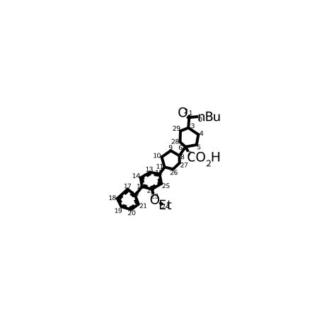 CCCCC(=O)C1CCC(C(=O)O)(C2CCC(c3ccc(-c4ccccc4)c(OCC)c3)CC2)CC1